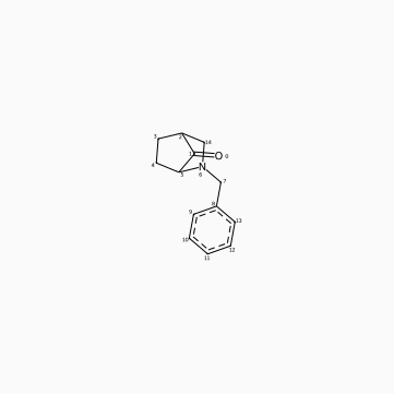 O=C1C2CCC1N(Cc1ccccc1)C2